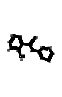 O=C(Oc1cccnn1)c1cncnc1O